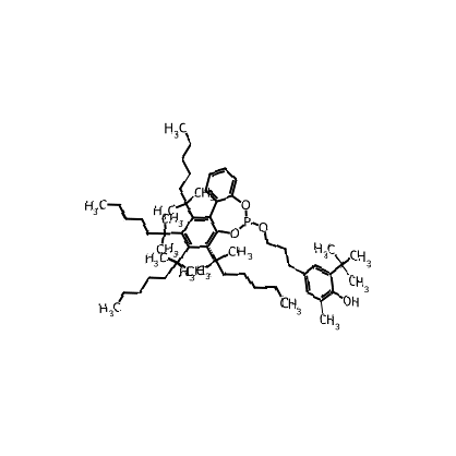 CCCCCC(C)(C)c1c(C(C)(C)CCCCC)c(C(C)(C)CCCCC)c2c(op(OCCCc3cc(C)c(O)c(C(C)(C)C)c3)oc3ccccc32)c1C(C)(C)CCCCC